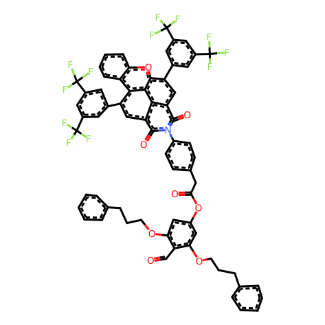 O=Cc1c(OCCCc2ccccc2)cc(OC(=O)Cc2ccc(-n3c(=O)c4cc(-c5cc(C(F)(F)F)cc(C(F)(F)F)c5)c5oc6ccccc6c6c(-c7cc(C(F)(F)F)cc(C(F)(F)F)c7)cc(c3=O)c4c56)cc2)cc1OCCCc1ccccc1